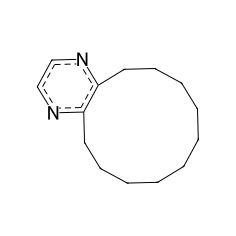 c1cnc2c(n1)CCCCCCCCCC2